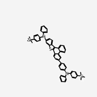 C[Si](C)(C)c1ccc(N(c2ccccc2)c2ccc(-c3ccc4c(c3)c3ccccc3c3c5ccc(N(c6ccccc6)c6ccc([Si](C)(C)C)cc6)cc5sc43)cc2)cc1